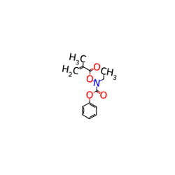 C=C(C)C(=O)ON(CC)C(=O)Oc1ccccc1